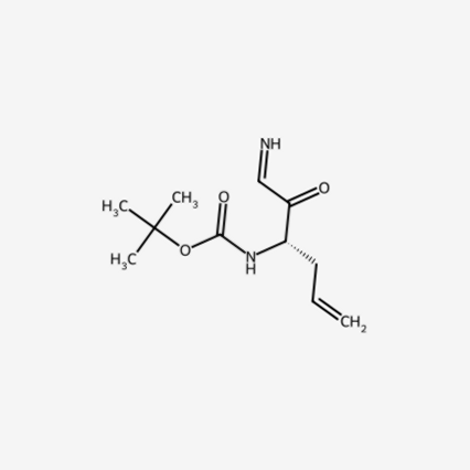 C=CC[C@H](NC(=O)OC(C)(C)C)C(=O)C=N